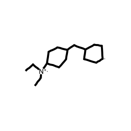 CC[N+](CC)C1CCC(CC2CC[CH]CC2)CC1